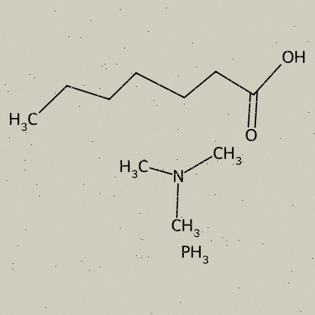 CCCCCCC(=O)O.CN(C)C.P